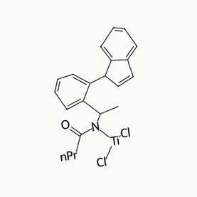 CCCC(=O)[N](C(C)c1ccccc1C1C=Cc2ccccc21)[Ti]([Cl])[Cl]